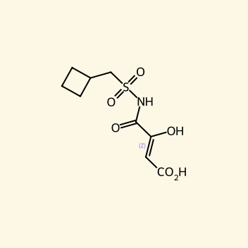 O=C(O)/C=C(\O)C(=O)NS(=O)(=O)CC1CCC1